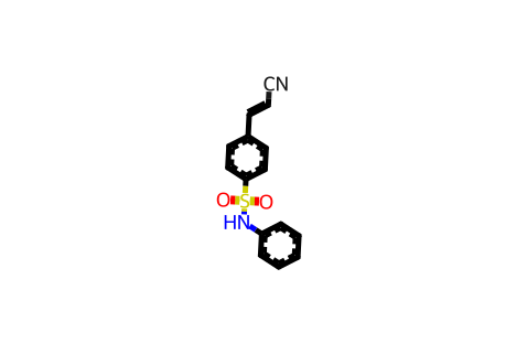 N#CC=Cc1ccc(S(=O)(=O)Nc2ccccc2)cc1